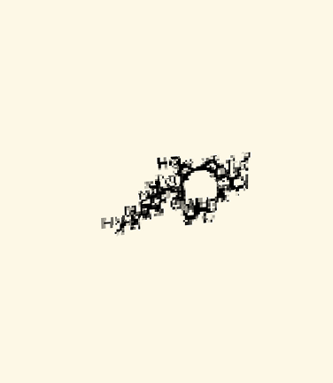 CCn1c(-c2cccnc2[C@H](C)OC)c2c3cc(ccc31)-c1cc(O)cc(c1)C[C@H](NC(=O)[C@H](C(C)C)N1CCC3(CC(S(=O)(=O)[C@H]4CN4)C3)C1=O)C(=O)N1CCC[C@H](N1)C(=O)OCC(C)(C)C2